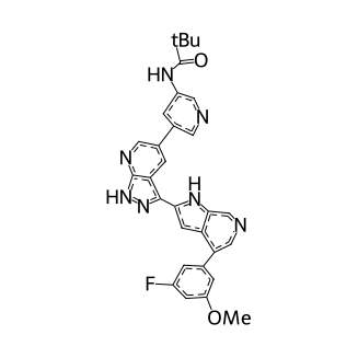 COc1cc(F)cc(-c2cncc3[nH]c(-c4n[nH]c5ncc(-c6cncc(NC(=O)C(C)(C)C)c6)cc45)cc23)c1